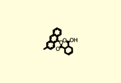 Cc1ccc2c(OC(=O)C3CC=CCC3C(=O)O)c3ccccc3cc2c1